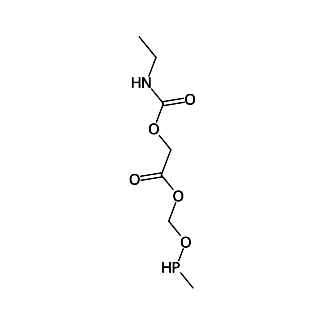 CCNC(=O)OCC(=O)OCOPC